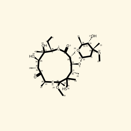 CC[C@H]1OC(=O)[C@H](C)[C@@H](O[C@H]2C[C@@](C)(OC)[C@@H](O)[C@H](C)O2)[C@H](C)C(C)(CS)[C@](C)(OC)C[C@@H](C)C(=O)[C@H](C)[C@@H](O)[C@]1(C)O